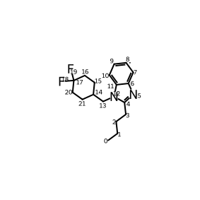 CCCCc1nc2c[c]ccc2n1CC1CCC(F)(F)CC1